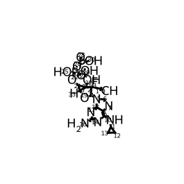 C#C[C@]1(F)[C@H](n2cnc3c(NC4CC4)nc(N)nc32)O[C@@H]2C(OP(=O)(O)OP(=O)(O)O)[C@@]21O